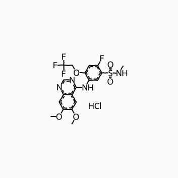 CNS(=O)(=O)c1cc(Nc2ncnc3cc(OC)c(OC)cc23)c(OCC(F)(F)F)cc1F.Cl